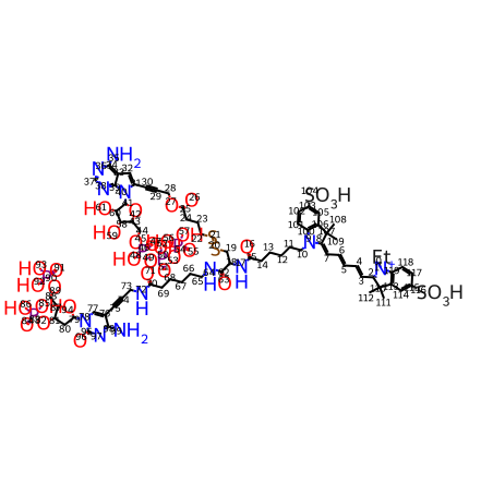 CC[N+]1=C(/C=C/C=C/C=C2/N(CCCCCC(=O)NC(CSSCCCC(=O)OCC#Cc3cc4c(N)ncnc4n3C3OC(COP(=O)(O)OP(=O)(O)OP(=O)(O)O)C(O)C3O)C(=O)NCCCCCC(=O)NCC#Cc3cn(C4CC(OP(=O)(O)O)C(COP(=O)(O)O)O4)c(=O)nc3N)c3ccc(S(=O)(=O)O)cc3C2(C)C)C(C)(C)c2cc(S(=O)(=O)O)ccc21